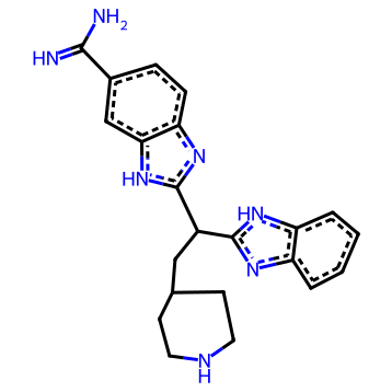 N=C(N)c1ccc2nc(C(CC3CCNCC3)c3nc4ccccc4[nH]3)[nH]c2c1